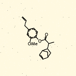 C=CCc1ccc(OC(=O)C(C)C2CC3C=CC2C3)c(OC)c1